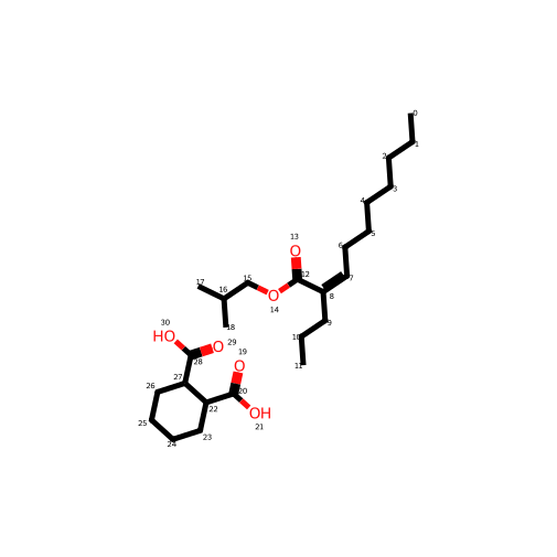 CCCCCCCC=C(CCC)C(=O)OCC(C)C.O=C(O)C1CCCCC1C(=O)O